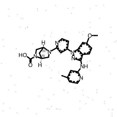 COc1ccc2c(Nc3cc(C)ccn3)nn(-c3ccnc(N4C[C@@H]5C[C@H]4CN5C(=O)O)c3)c2c1